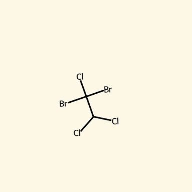 ClC(Cl)C(Cl)(Br)Br